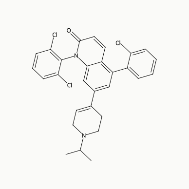 CC(C)N1CC=C(c2cc(-c3ccccc3Cl)c3ccc(=O)n(-c4c(Cl)cccc4Cl)c3c2)CC1